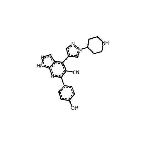 N#Cc1c(-c2ccc(O)cc2)nc2[nH]ncc2c1-c1cnn(C2CCNCC2)c1